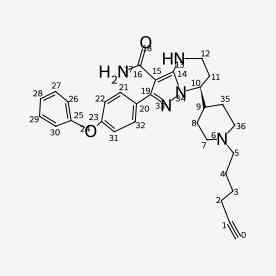 C#CCCCCN1CCC([C@@H]2CCNc3c(C(N)=O)c(-c4ccc(Oc5ccccc5)cc4)nn32)CC1